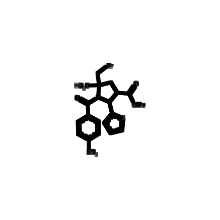 COC(=O)C1CC(CC(C)C)(C(=O)O)N(C(=O)c2ccc([N+](=O)[O-])cc2)C1c1cccs1